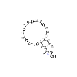 C/C(=N\O)c1cc2c(cc1C)OCCOCCOCCOCCOCCO2